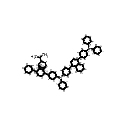 CC(C)C1CC2c3c(-c4ccc(N(c5ccccc5)c5ccc(-c6ccc(-c7ccc(N(c8ccccc8)c8ccccc8)cc7)c7ccccc67)cc5)cc4)ccc(-c4ccccc4)c3C1CC2C